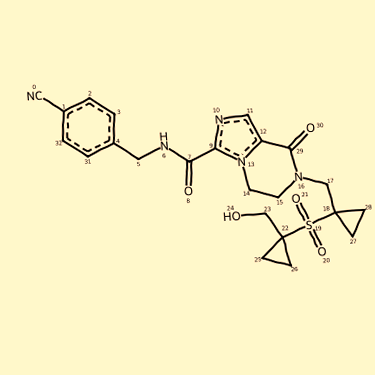 N#Cc1ccc(CNC(=O)c2ncc3n2CCN(CC2(S(=O)(=O)C4(CO)CC4)CC2)C3=O)cc1